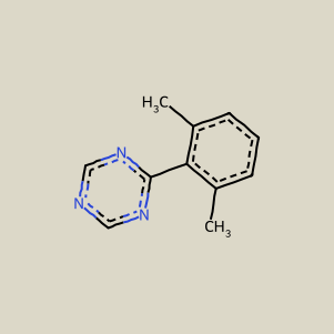 Cc1cccc(C)c1-c1ncncn1